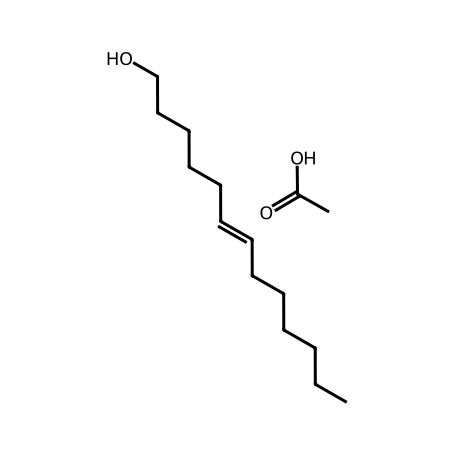 CC(=O)O.CCCCCCC=CCCCCCO